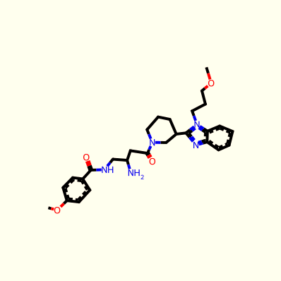 COCCCn1c(C2CCCN(C(=O)CC(N)CNC(=O)c3ccc(OC)cc3)C2)nc2ccccc21